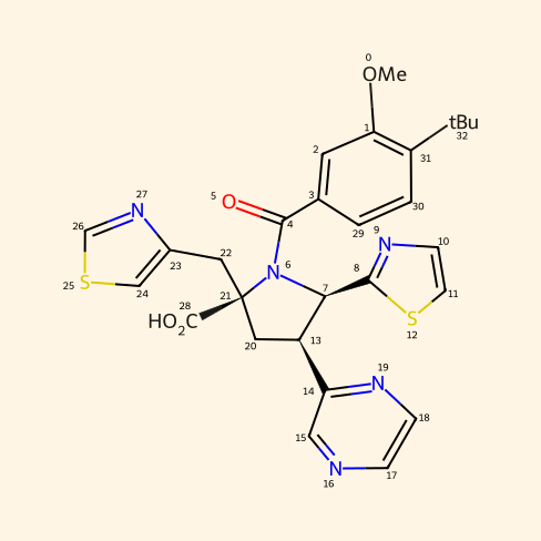 COc1cc(C(=O)N2[C@@H](c3nccs3)[C@@H](c3cnccn3)C[C@@]2(Cc2cscn2)C(=O)O)ccc1C(C)(C)C